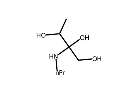 CCCNC(O)(CO)C(C)O